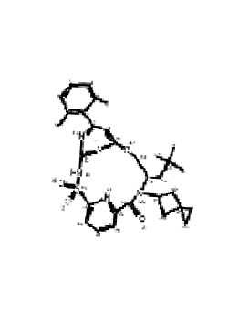 Cc1cccc(C)c1-c1cc2nc(n1)NS(=O)(=O)c1cccc(n1)C(=O)N(C1CC3(CC3)C1)[C@H](CC(C)(C)C)CO2